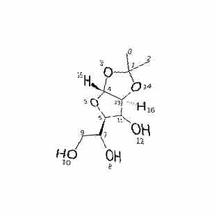 CC1(C)O[C@H]2O[C@H](C(O)CO)C(O)[C@@H]2O1